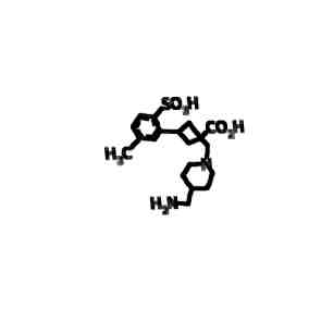 Cc1ccc(S(=O)(=O)O)c(C2CC(CN3CCC(CN)CC3)(C(=O)O)C2)c1